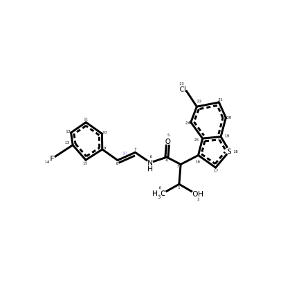 CC(O)C(C(=O)N/C=C/c1cccc(F)c1)c1csc2ccc(Cl)cc12